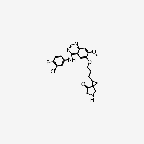 COc1cc2ncnc(Nc3ccc(F)c(Cl)c3)c2cc1OCCCC1CC12CNCC2=O